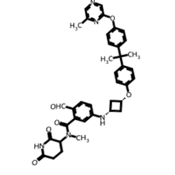 Cc1cncc(Oc2ccc(C(C)(C)c3ccc(O[C@H]4C[C@@H](Nc5ccc(C=O)c(C(=O)N(C)C6CCC(=O)NC6=O)c5)C4)cc3)cc2)n1